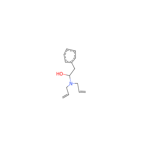 C=CCN(CC=C)C(O)Cc1ccccc1